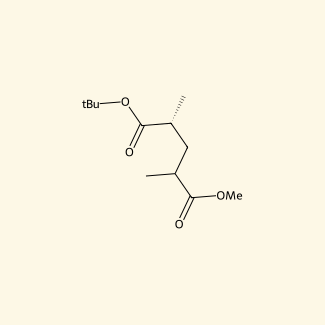 COC(=O)C(C)C[C@@H](C)C(=O)OC(C)(C)C